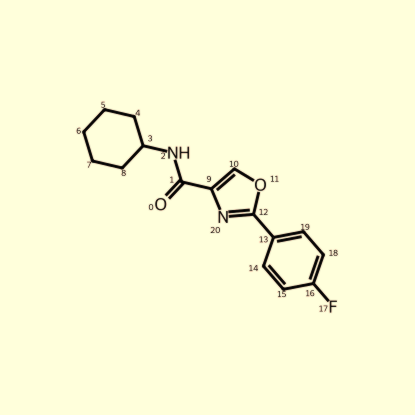 O=C(NC1CCCCC1)c1coc(-c2ccc(F)cc2)n1